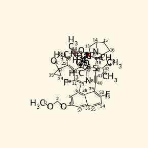 COCOc1cc(-c2ncc3c(N4CC5CCC(C4)N5C(=O)OC(C)(C)C)nc4c(c3c2F)C2(CC2)OC4)c2c(C#C[Si](C(C)C)(C(C)C)C(C)C)c(F)ccc2c1